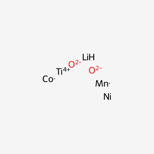 [Co].[LiH].[Mn].[Ni].[O-2].[O-2].[Ti+4]